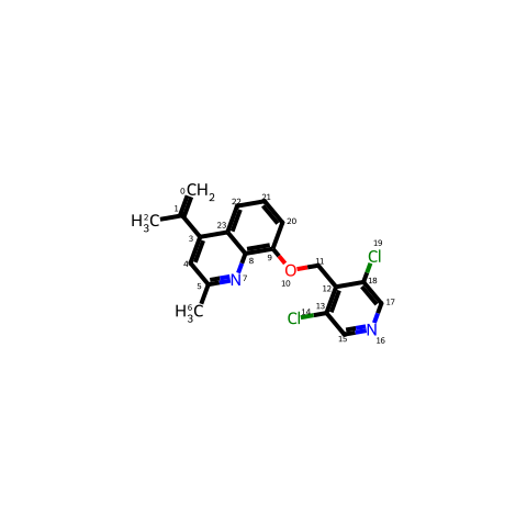 C=C(C)c1cc(C)nc2c(OCc3c(Cl)cncc3Cl)cccc12